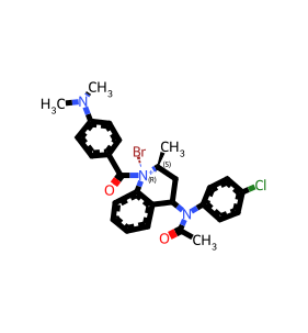 CC(=O)N(c1ccc(Cl)cc1)C1C[C@H](C)[N@+](Br)(C(=O)c2ccc(N(C)C)cc2)c2ccccc21